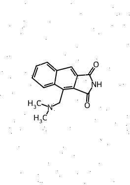 CN(C)Cc1c2c(cc3ccccc13)C(=O)NC2=O